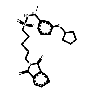 C[C@@H](NS(=O)(=O)CCCCCN1C(=O)c2ccccc2C1=O)c1cccc(OC2CCCC2)c1